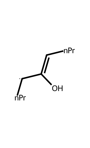 CCC[CH]/C(O)=C/CCC